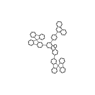 c1ccc2c(c1)-c1ccccc1C21c2ccccc2-c2ccc(-c3ccc4oc5c(-c6ccc(-c7cc8ccccc8c8ccccc78)cc6)cc(-c6ccc7c(c6)C6(c8ccccc8-c8ccccc86)c6ccccc6-7)cc5c4c3)cc21